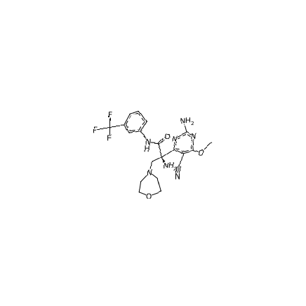 COc1nc(N)nc([C@](N)(CN2CCOCC2)C(=O)Nc2cccc(C(F)(F)F)c2)c1C#N